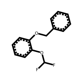 FC(F)Oc1ccccc1OCc1ccccc1